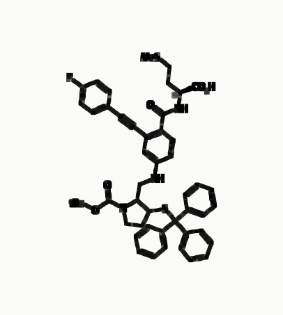 CSCC[C@H](NC(=O)c1ccc(NCC2C(SC(c3ccccc3)(c3ccccc3)c3ccccc3)CCN2C(=O)OC(C)(C)C)cc1C#Cc1ccc(F)cc1)C(=O)O